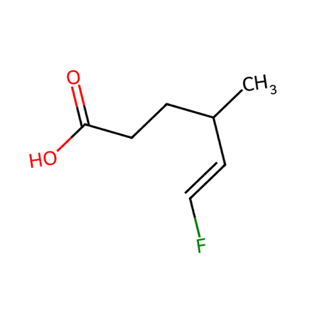 CC(C=CF)CCC(=O)O